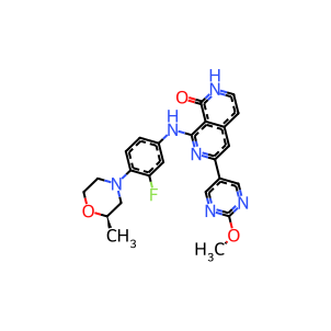 COc1ncc(-c2cc3cc[nH]c(=O)c3c(Nc3ccc(N4CCO[C@H](C)C4)c(F)c3)n2)cn1